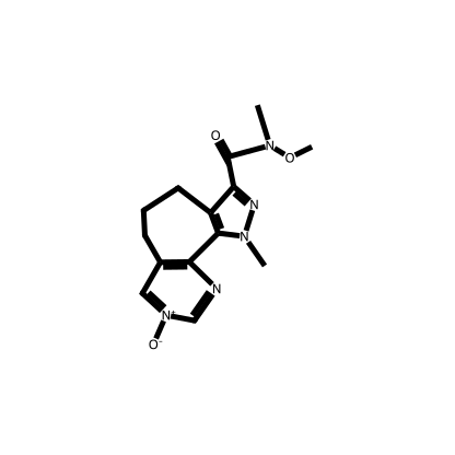 CON(C)C(=O)c1nn(C)c2c1CCCc1c[n+]([O-])cnc1-2